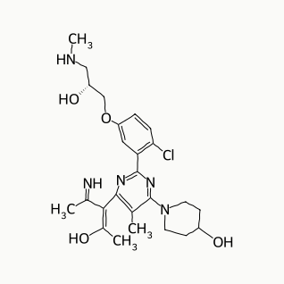 CNC[C@@H](O)COc1ccc(Cl)c(-c2nc(/C(C(C)=N)=C(\C)O)c(C)c(N3CCC(O)CC3)n2)c1